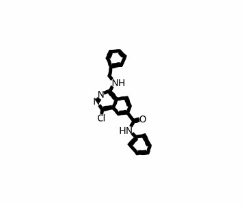 O=C(Nc1ccccc1)c1ccc2c(NCc3ccccc3)nnc(Cl)c2c1